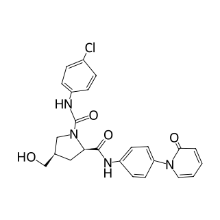 O=C(Nc1ccc(-n2ccccc2=O)cc1)[C@H]1C[C@@H](CO)CN1C(=O)Nc1ccc(Cl)cc1